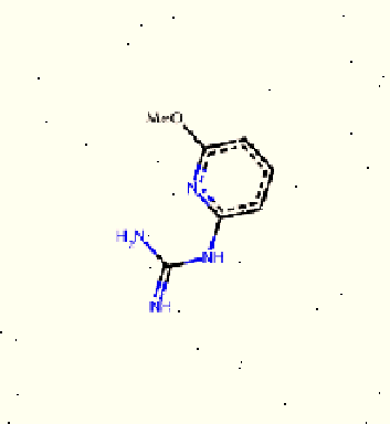 COc1cccc(NC(=N)N)n1